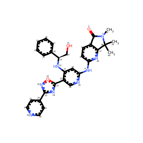 CN1C(=O)c2ccc(Nc3cc(N[C@H](CO)c4ccccc4)c(-c4nc(-c5ccncc5)no4)cn3)nc2C1(C)C